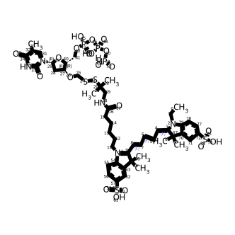 CCN1/C(=C/C=C/C=C/C2=[N+](CCCCCC(=O)NCC(C)(C)SSCO[C@@H]3C[C@H](n4cc(C)c(=O)[nH]c4=O)O[C@@H]3COP(=O)(O)OP(=O)(O)O[PH](=O)O)c3ccc(S(=O)(=O)O)cc3C2(C)C)C(C)(C)c2cc(S(=O)(=O)O)ccc21